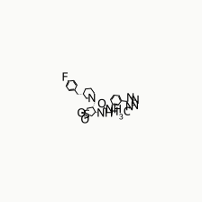 Cn1nnnc1-c1cccc(NC(=O)N[C@@H]2CS(=O)(=O)C[C@@H]2CN2CCC[C@@H](Cc3ccc(F)cc3)C2)c1